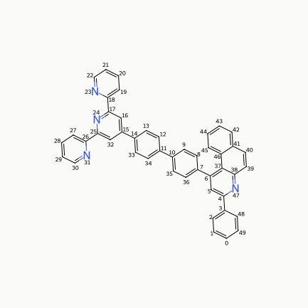 c1ccc(-c2cc(-c3ccc(-c4ccc(-c5cc(-c6ccccn6)nc(-c6ccccn6)c5)cc4)cc3)c3c(ccc4ccccc43)n2)cc1